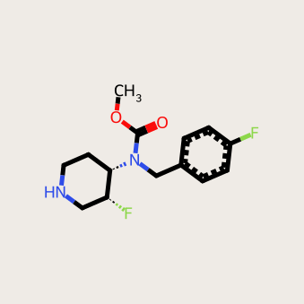 COC(=O)N(Cc1ccc(F)cc1)[C@H]1CCNC[C@H]1F